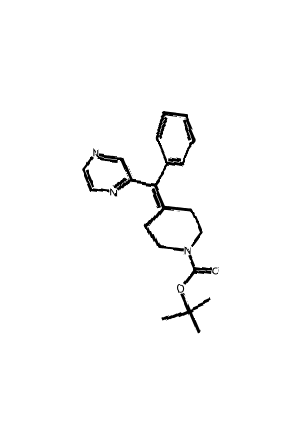 CC(C)(C)OC(=O)N1CCC(=C(c2ccccc2)c2cnccn2)CC1